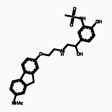 CC(=O)Nc1ccc2c(c1)Cc1cc(OCC[AsH]CC(O)c3ccc(O)c(NS(C)(=O)=O)c3)ccc1-2